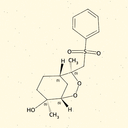 C[C@]1(O)CC[C@H]2C[C@@H]1OO[C@]2(C)CS(=O)(=O)c1ccccc1